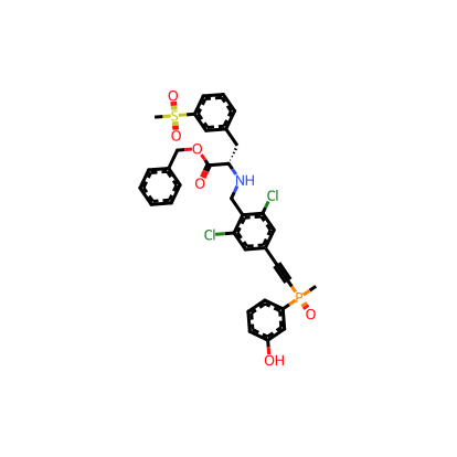 CP(=O)(C#Cc1cc(Cl)c(CN[C@@H](Cc2cccc(S(C)(=O)=O)c2)C(=O)OCc2ccccc2)c(Cl)c1)c1cccc(O)c1